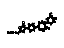 CC(=O)NCC1CN(c2ccc(-c3ccc(N4CCNC(C)C4)c(=O)cc3)cc2)C(=O)O1